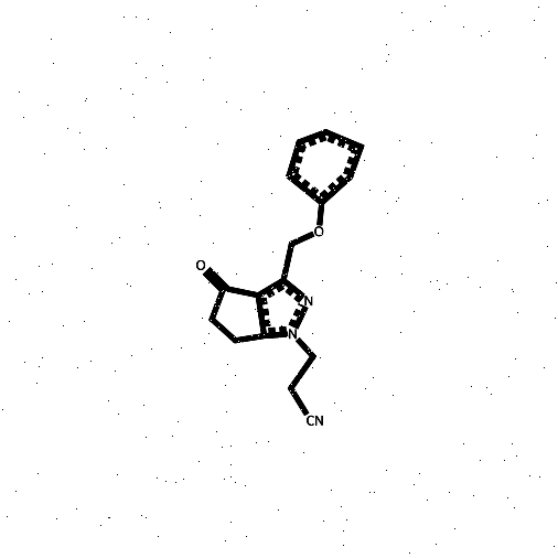 N#CCCn1nc(COc2ccccc2)c2c1CCC2=O